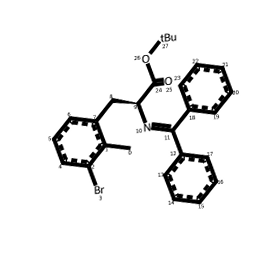 Cc1c(Br)cccc1C[C@H](N=C(c1ccccc1)c1ccccc1)C(=O)OC(C)(C)C